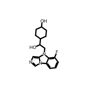 OC1CCC(C(O)Cn2c3c(F)cccc3n3cncc23)CC1